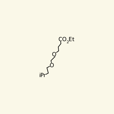 CCOC(=O)CCCOCCOCCC(C)C